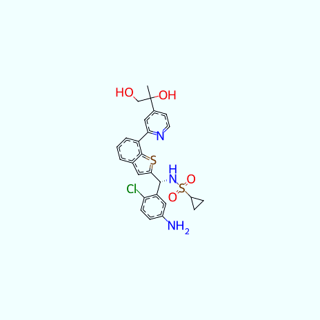 CC(O)(CO)c1ccnc(-c2cccc3cc([C@H](NS(=O)(=O)C4CC4)c4cc(N)ccc4Cl)sc23)c1